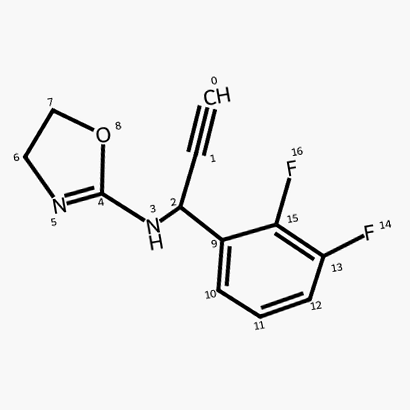 C#CC(NC1=NCCO1)c1cccc(F)c1F